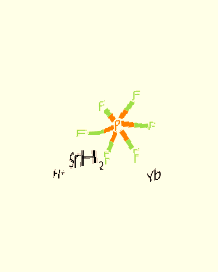 F[P-](F)(F)(F)(F)F.[H+].[SrH2].[Yb]